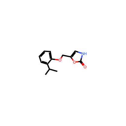 CC(C)c1ccccc1OCc1c[nH]c(=O)o1